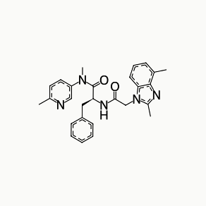 Cc1ccc(N(C)C(=O)[C@H](Cc2ccccc2)NC(=O)Cn2c(C)nc3c(C)cccc32)cn1